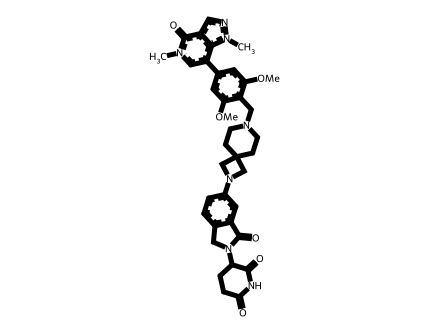 COc1cc(-c2cn(C)c(=O)c3cnn(C)c23)cc(OC)c1CN1CCC2(CC1)CN(c1ccc3c(c1)C(=O)N(C1CCC(=O)NC1=O)C3)C2